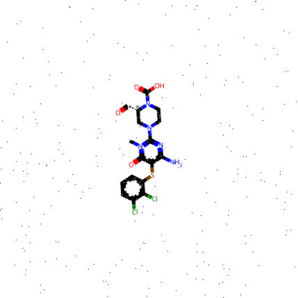 Cn1c(N2CCN(C(=O)O)[C@@H](C=O)C2)nc(N)c(Sc2cccc(Cl)c2Cl)c1=O